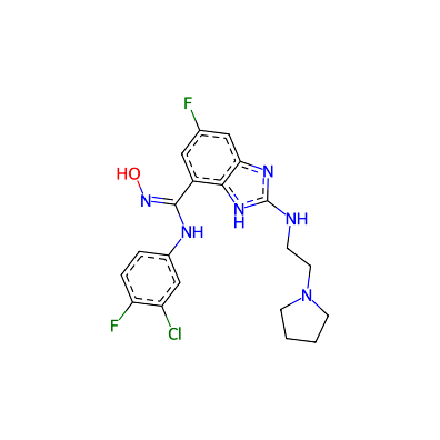 O/N=C(/Nc1ccc(F)c(Cl)c1)c1cc(F)cc2nc(NCCN3CCCC3)[nH]c12